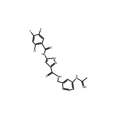 CC(=N)Nc1cccc(CNC(=O)c2cc(NC(=O)c3cc(F)c(F)cc3Cl)[nH]n2)c1